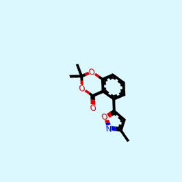 Cc1cc(-c2cccc3c2C(=O)OC(C)(C)O3)on1